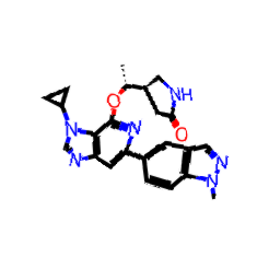 C[C@@H](Oc1nc(-c2ccc3c(cnn3C)c2)cc2ncn(C3CC3)c12)[C@H]1CNC(=O)C1